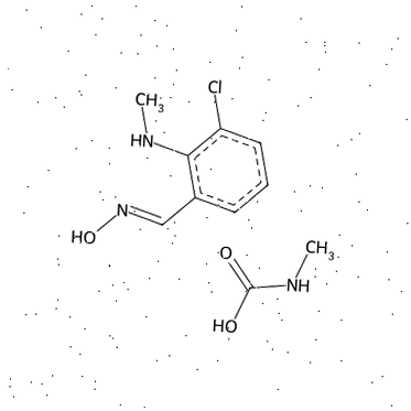 CNC(=O)O.CNc1c(Cl)cccc1C=NO